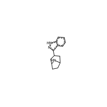 c1ccc2c(C3CC4CCC(C3)N4)n[nH]c2c1